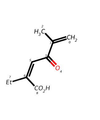 C=C(C)C(=O)C=C(CC)C(=O)O